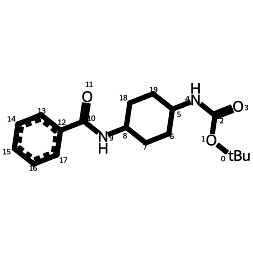 CC(C)(C)OC(=O)NC1CCC(NC(=O)c2ccccc2)CC1